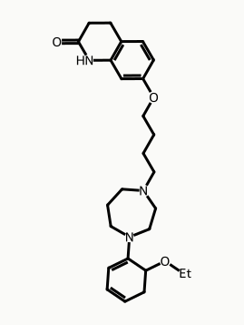 CCOC1CC=CC=C1N1CCCN(CCCCOc2ccc3c(c2)NC(=O)CC3)CC1